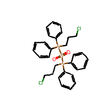 O=S(=O)(S(CCCCl)(c1ccccc1)c1ccccc1)S(CCCCl)(c1ccccc1)c1ccccc1